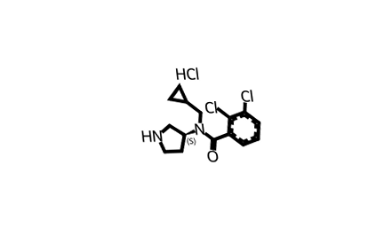 Cl.O=C(c1cccc(Cl)c1Cl)N(CC1CC1)[C@H]1CCNC1